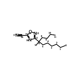 CCCCCCC(C)(CCCC)c1noc(C#N)n1